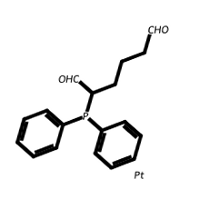 O=CCCCC(C=O)P(c1ccccc1)c1ccccc1.[Pt]